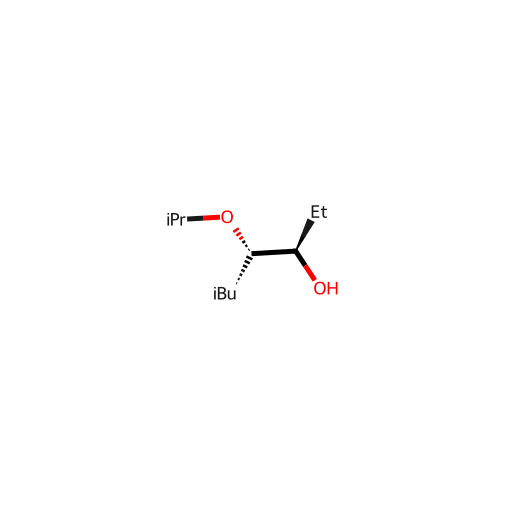 CC[C@@H](O)[C@@H](OC(C)C)[C@@H](C)CC